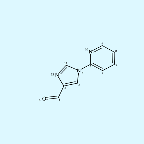 O=Cc1cn(-c2ccccn2)cn1